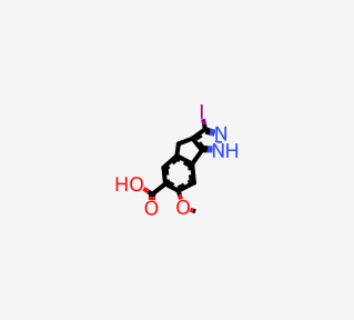 COc1cc2c(cc1C(=O)O)Cc1c(I)n[nH]c1-2